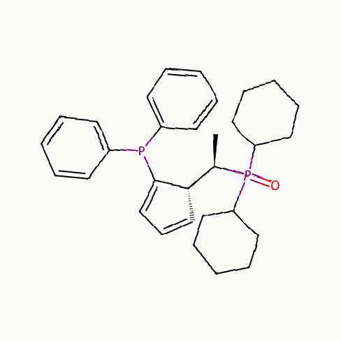 C[C@H]([C@@H]1C=CC=C1P(c1ccccc1)c1ccccc1)P(=O)(C1CCCCC1)C1CCCCC1